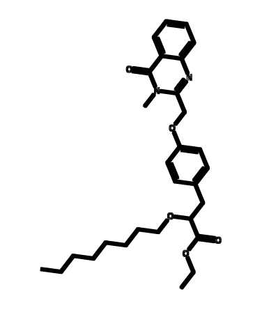 CCCCCCCCOC(Cc1ccc(OCc2nc3ccccc3c(=O)n2C)cc1)C(=O)OCC